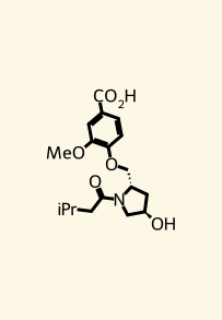 COc1cc(C(=O)O)ccc1OC[C@@H]1C[C@@H](O)CN1C(=O)CC(C)C